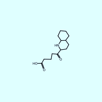 O=C(O)CCCC(=O)C1CCC2CCCCC2N1